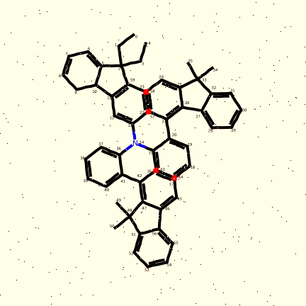 CCC1(CC)C2=CC=CCC2c2cc(N(c3ccccc3-c3cccc4c3-c3ccccc3C4(C)C)c3ccccc3-c3cccc4c3C(C)(C)c3ccccc3-4)ccc21